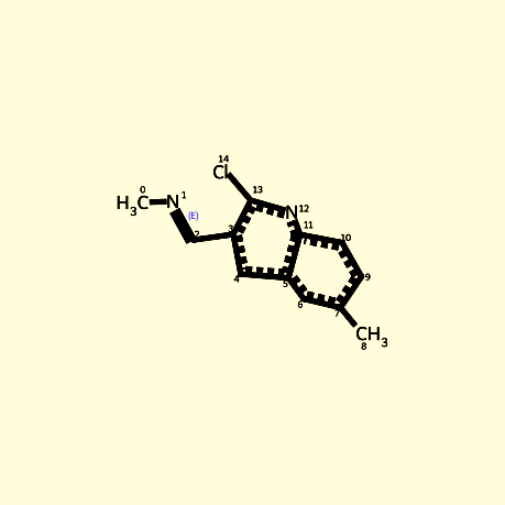 C/N=C/c1cc2cc(C)ccc2nc1Cl